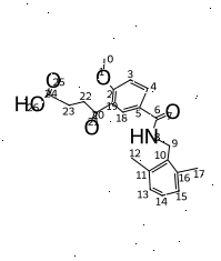 COc1ccc(C(=O)NCc2c(C)cccc2C)cc1C(=O)CCC(=O)O